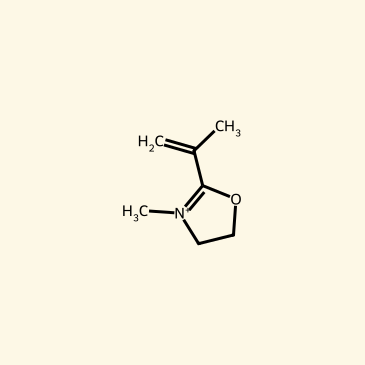 C=C(C)C1=[N+](C)CCO1